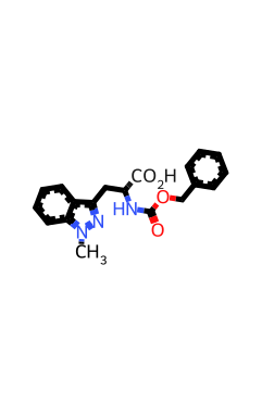 Cn1nc(CC(NC(=O)OCc2ccccc2)C(=O)O)c2ccccc21